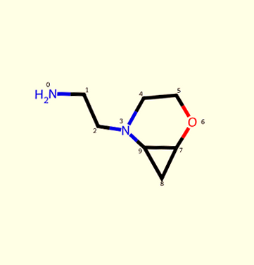 NCCN1CCOC2CC21